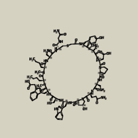 CCCC[C@H]1C(=O)N(C)[C@@H](CCCC)C(=O)N[C@@H](CN)C(=O)N[C@H](C(=O)NCC(N)=O)CSCC(=O)N[C@@H](Cc2ccc(O)cc2)C(=O)N(C)[C@@H](C)C(=O)N[C@@H](CC(=O)O)C(=O)N2CCC[C@H]2C(=O)N[C@@H](CN)C(=O)N[C@@H](CCC(N)=O)C(=O)N2C[C@H](O)C[C@H]2C(=O)N[C@@H](Cc2c[nH]c3ccccc23)C(=O)N[C@@H](CO)C(=O)N[C@@H](Cc2cn(CC(=O)O)c3ccccc23)C(=O)N1C